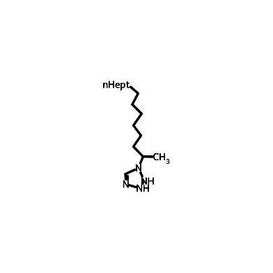 CCCCCCCCCCCCCC(C)N1C=NNN1